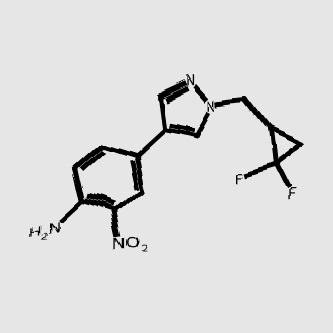 Nc1ccc(-c2cnn(CC3CC3(F)F)c2)cc1[N+](=O)[O-]